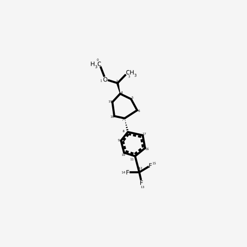 COC(C)[C@H]1CC[C@H](c2ccc(C(F)(F)F)cc2)CC1